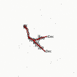 CCCCCCCCCCCCCCCC(=O)NCCOCCNC(=O)CCOCCNC(=O)CC[C@H](NC(=O)CCOCc1cn(CCOCCOCCOCCOc2ccc(-c3nnc(S(C)(=O)=O)o3)cc2)nn1)C(=O)NCCOCCC(=O)NCCOCCNC(=O)CCCCCCCCCCCCCCC